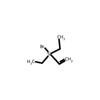 C=C[Si](Br)(CC)CC